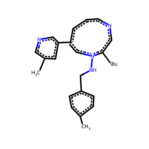 CCC(C)c1cncccc(-c2cncc(C)c2)cn1NCc1ccc(C)cc1